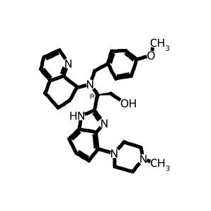 COc1ccc(CN(C2CCCc3cccnc32)[C@@H](CO)c2nc3c(N4CCN(C)CC4)cccc3[nH]2)cc1